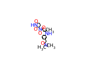 C/C(=C\C(=O)N(C=O)C1CCC(=O)NC1=O)Nc1cccc(CC(=O)N(C)C)c1